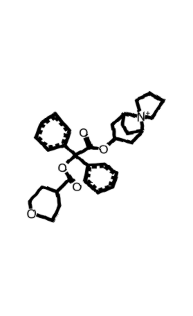 O=C(OC(C(=O)OC1CC2CCC(C1)[N+]21CCCC1)(c1ccccc1)c1ccccc1)C1CCOCC1